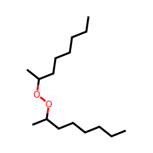 CCCCCCC(C)OOC(C)CCCCCC